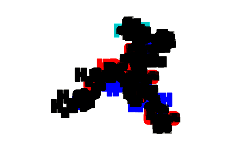 C=N/C=C\C(=C/C)CC(=O)N[C@@H](C)C(=O)N[C@H](CO)C(=O)N[C@@H](CC(N)=O)C(=O)N[C@@H](CCN(C(=O)CO)[C@@H](c1cc(-c2cc(F)ccc2F)cn1Cc1ccccc1)C(C)(C)C)C(=O)NCCNC(=O)CN1C(=O)C=CC1=O